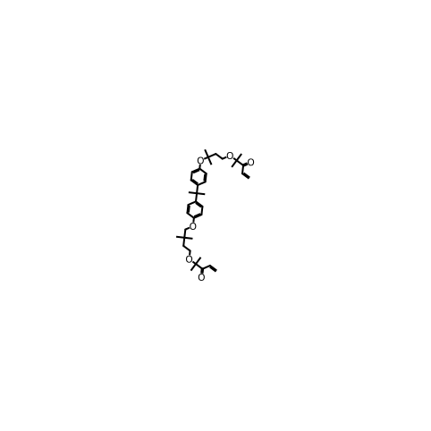 C=CC(=O)C(C)(C)OCCC(C)(C)COc1ccc(C(C)(C)c2ccc(OC(C)(C)CCOC(C)(C)C(=O)C=C)cc2)cc1